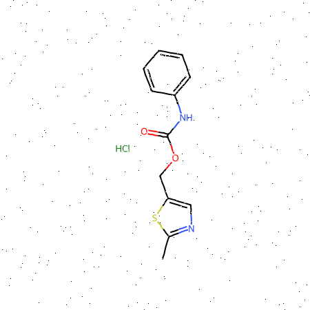 Cc1ncc(COC(=O)Nc2ccccc2)s1.Cl